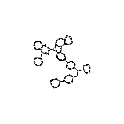 c1ccc(-c2ccc3c(c2)-c2cc(-c4ccc5c(c4)c4c6ccccc6ccc4n5-c4nc(-c5ccccc5)c5ccccc5n4)ccc2C(c2ccccc2)C3)cc1